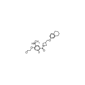 CNc1cc(C(=O)N2CC(COc3ccc4c(c3)CCCC4)C2)c(F)cc1OCC=O